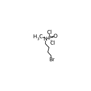 CN(CCCCBr)P(=O)(Cl)Cl